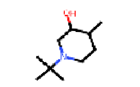 CC1CCN(C(C)(C)C)CC1O